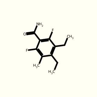 CCc1c(C)c(F)c(C(N)=O)c(F)c1CC